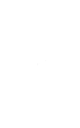 C=C[P]1(O)CCCC1